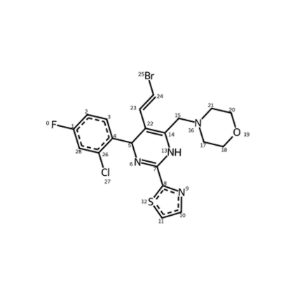 Fc1ccc(C2N=C(c3nccs3)NC(CN3CCOCC3)=C2/C=C/Br)c(Cl)c1